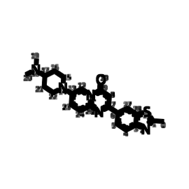 Cc1nc2ccc(-c3cc(=O)n4cc(N5CCC(N(C)C)CC5)ccc4n3)cc2s1